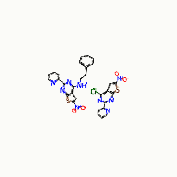 O=[N+]([O-])c1cc2c(Cl)nc(-c3ccccn3)nc2s1.O=[N+]([O-])c1cc2c(NCCc3ccccc3)nc(-c3ccccn3)nc2s1